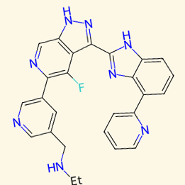 CCNCc1cncc(-c2ncc3[nH]nc(-c4nc5c(-c6ccccn6)cccc5[nH]4)c3c2F)c1